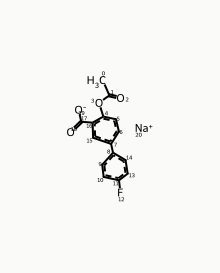 CC(=O)Oc1ccc(-c2ccc(F)cc2)cc1C(=O)[O-].[Na+]